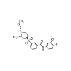 COCCC1CCN(S(=O)(=O)c2cccc(C(=O)Nc3ccc(F)c(Cl)c3)c2)CC1C